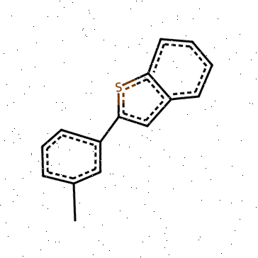 Cc1cccc(-c2cc3ccccc3s2)c1